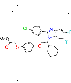 COC(=O)COc1ccc(OCC(C2CCCCC2)n2c(-c3ccc(Cl)cc3)nc3cc(F)c(F)cc32)cc1